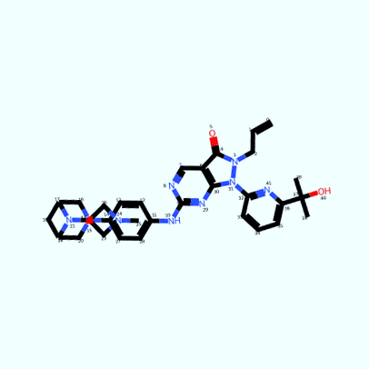 C=CCn1c(=O)c2cnc(Nc3ccc(N4CC5CC(C4)N5C4CN(C)C4)cc3)nc2n1-c1cccc(C(C)(C)O)n1